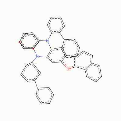 c1ccc(-c2cccc(N(c3ccccc3)c3cc4oc5c6ccccc6ccc5c4cc3N(c3ccccc3)c3ccccc3-c3ccccc3)c2)cc1